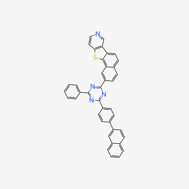 c1ccc(-c2nc(-c3ccc(-c4ccc5ccccc5c4)cc3)nc(-c3ccc4ccc5c6cnccc6sc5c4c3)n2)cc1